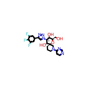 OC[C@H]1O[C@@]2(CCCN(c3ccncn3)C2)[C@H](O)[C@@H](n2cc(-c3cc(F)c(F)c(F)c3)nn2)[C@H]1O